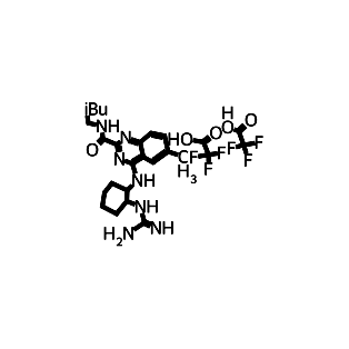 CCC(C)CNC(=O)c1nc(NC2CCCCC2NC(=N)N)c2cc(C)ccc2n1.O=C(O)C(F)(F)F.O=C(O)C(F)(F)F